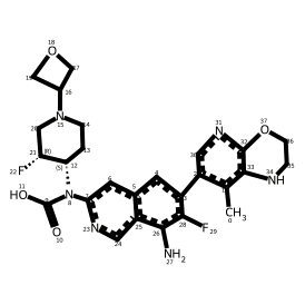 Cc1c(-c2cc3cc(N(C(=O)O)[C@H]4CCN(C5COC5)C[C@H]4F)ncc3c(N)c2F)cnc2c1NCCO2